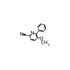 COc1ccc(C#N)nc1-c1ccccc1